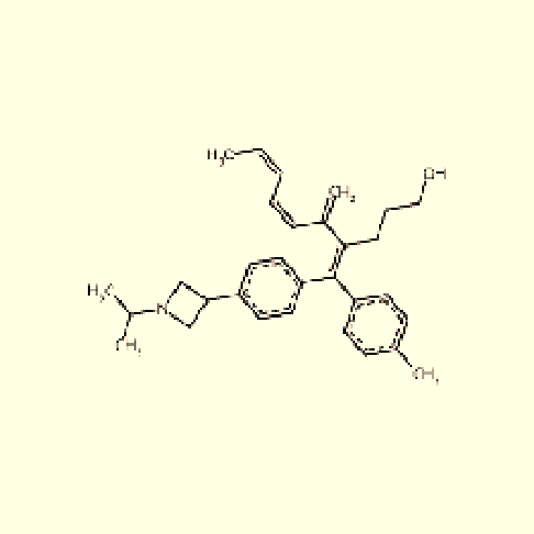 C=C(/C=C\C=C/C)/C(CCCO)=C(/c1ccc(C)cc1)c1ccc(C2CN(C(C)C)C2)cc1